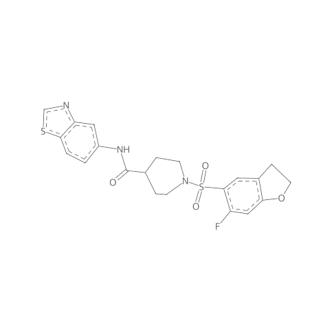 O=C(Nc1ccc2scnc2c1)C1CCN(S(=O)(=O)c2cc3c(cc2F)OCC3)CC1